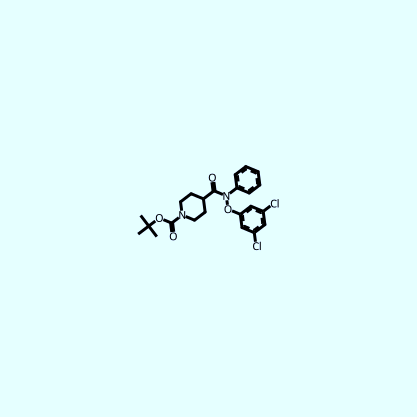 CC(C)(C)OC(=O)N1CCC(C(=O)N(Oc2cc(Cl)cc(Cl)c2)c2ccccc2)CC1